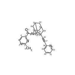 Cc1nccc(C(=O)NC23CC4CC(CC(C#Cc5ccccn5)(C4)C2)C3)n1